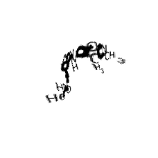 Cc1ccc(Oc2ccc(Nc3ncnc4ccc(C#CCNC(=O)CCO)cc34)cc2C)cn1